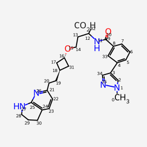 Cn1cc(-c2cccc(C(=O)NC(CCO[C@H]3C[C@H](CCc4ccc5c(n4)NCCC5)C3)C(=O)O)c2)cn1